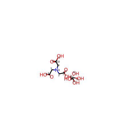 O=C(O)CN(CC(=O)O)CC(=O)O.O[Si](O)(O)O